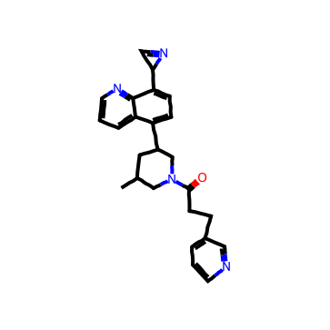 CC1CC(c2ccc(C3C=N3)c3ncccc23)CN(C(=O)CCc2cccnc2)C1